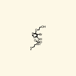 CSCCNS(=O)(=O)Nc1ncnc(OCCO)c1Br